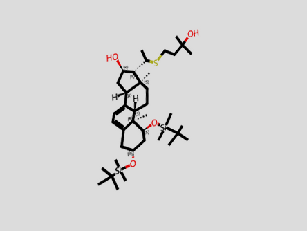 CC(SCCC(C)(C)O)[C@H]1[C@H](O)C[C@H]2C3=CC=C4C[C@@H](O[Si](C)(C)C(C)(C)C)C[C@H](O[Si](C)(C)C(C)(C)C)[C@]4(C)[C@H]3CC[C@@]21C